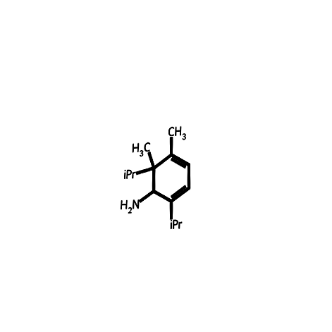 CC1=CC=C(C(C)C)C(N)C1(C)C(C)C